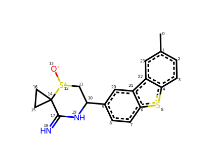 Cc1ccc2sc3ccc(C4C[S+]([O-])C5(CC5)C(=N)N4)cc3c2c1